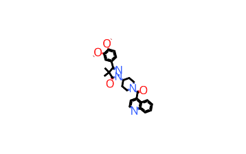 COc1ccc(C2=NN(C3CCN(C(=O)c4ccnc5ccccc45)CC3)C(=O)C2(C)C)cc1OC